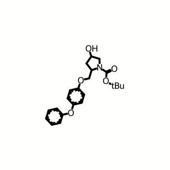 CC(C)(C)OC(=O)N1CC(O)CC1COc1ccc(Oc2ccccc2)cc1